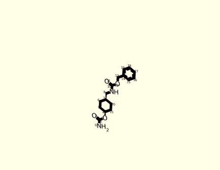 NC(=O)O[C@H]1CC[C@@H](CNC(=O)OCc2ccccc2)CC1